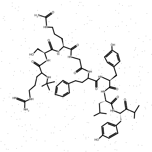 CC(C)C[C@H](NC(=O)[C@H](Cc1ccc(O)cc1)NC(=O)C(CCc1ccccc1)NC(=O)CNC(=O)[C@H](CCCNC(N)=O)NC(=O)[C@H](CO)NC(=O)C(CCCNC(=N)N)NC(C)(C)C)C(=O)N[C@@H](Cc1ccc(O)cc1)C(=O)C(C)C